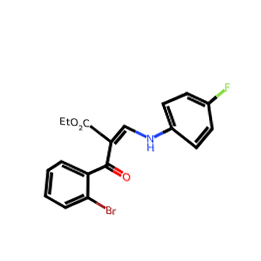 CCOC(=O)C(=CNc1ccc(F)cc1)C(=O)c1ccccc1Br